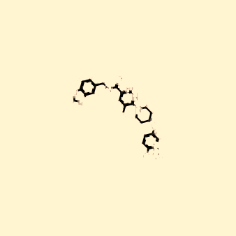 COc1ccc(OC2CCN(c3nnc(C(=O)NCc4ccc5c(c4)OCO5)cc3C)CC2)cn1